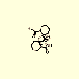 O=C(O)C1CCCCC1(OC1(C(=O)O)CCCCC1C(=O)O)C(=O)O